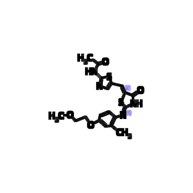 COCCOc1ccc(/N=C2/NC(=O)/C(=C/c3cnc(NC(C)=O)s3)S2)c(C)c1